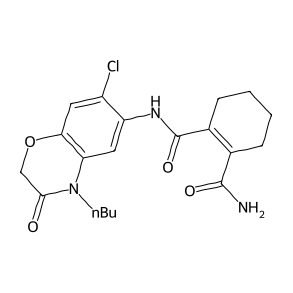 CCCCN1C(=O)COc2cc(Cl)c(NC(=O)C3=C(C(N)=O)CCCC3)cc21